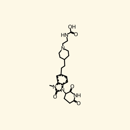 Cn1c(=O)n(C2CCC(=O)NC2=O)c2ccc(CCC3CCN(CCNC(=O)O)CC3)cc21